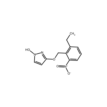 CCc1cccc([N+](=O)[O-])c1COc1ccn(O)n1